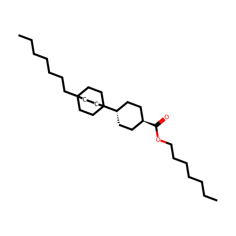 CCCCCCCOC(=O)[C@H]1CC[C@H](C23CCC(CCCCCCC)(CC2)CC3)CC1